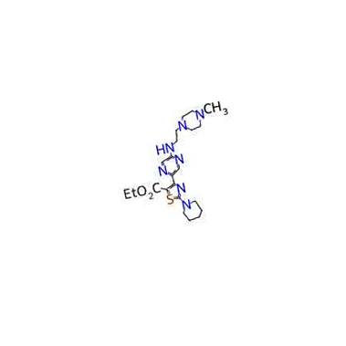 CCOC(=O)c1sc(N2CCCCC2)nc1-c1cnc(NCCN2CCN(C)CC2)cn1